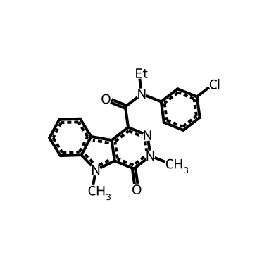 CCN(C(=O)c1nn(C)c(=O)c2c1c1ccccc1n2C)c1cccc(Cl)c1